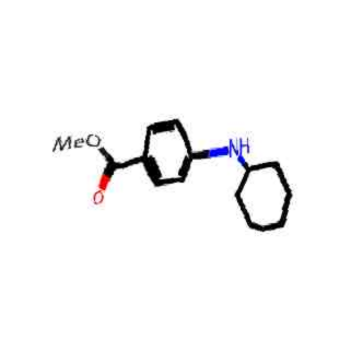 COC(=O)c1ccc(NC2CCCCC2)cc1